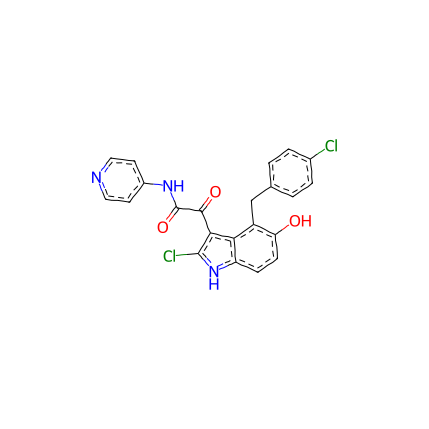 O=C(Nc1ccncc1)C(=O)c1c(Cl)[nH]c2ccc(O)c(Cc3ccc(Cl)cc3)c12